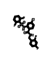 O=C(NCc1ccc(F)cc1F)c1ccc(Cl)cc1NS(=O)(=O)c1c(F)cccc1F